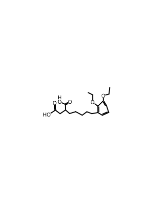 CCOc1cccc(CCCCCC(CC(=O)O)C(=O)O)c1OCC